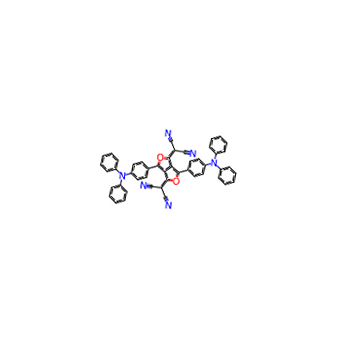 N#CC(C#N)=c1oc(-c2ccc(N(c3ccccc3)c3ccccc3)cc2)c2c(=C(C#N)C#N)oc(-c3ccc(N(c4ccccc4)c4ccccc4)cc3)c12